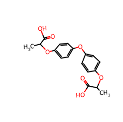 CC(Oc1ccc(Oc2ccc(OC(C)C(=O)O)cc2)cc1)C(=O)O